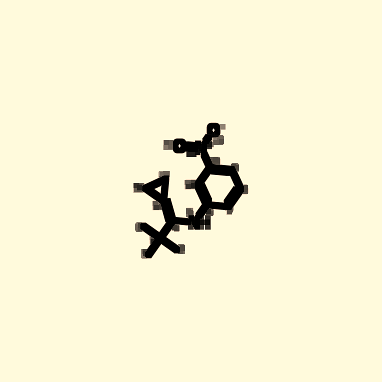 CC(C)(C)C(Nc1cccc([N+](=O)[O-])c1)=C1CC1